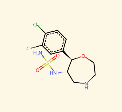 NS(=O)(=O)N[C@H]1CNCCO[C@@H]1c1ccc(Cl)c(Cl)c1